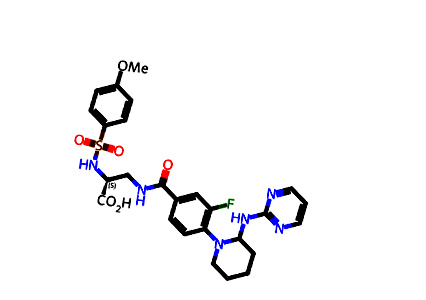 COc1ccc(S(=O)(=O)N[C@@H](CNC(=O)c2ccc(N3CCCCC3Nc3ncccn3)c(F)c2)C(=O)O)cc1